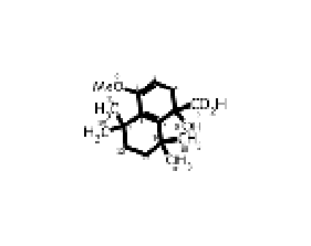 COC1=CCC(O)(C(=O)O)C2=C1C(C)(C)CCC2(C)C